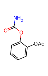 CC(=O)Oc1ccccc1OC(N)=O